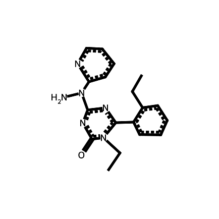 CCc1ccccc1-c1nc(N(N)c2ccccn2)nc(=O)n1CC